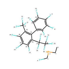 CCPCF.Fc1c(F)c(F)c(-c2c(C(F)(F)F)c(F)c(F)c(F)c2C(F)(F)C(F)(F)F)c(F)c1F